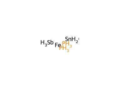 P.P.[Fe].[SbH3].[SnH2]